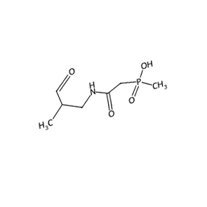 CC(C=O)CNC(=O)CP(C)(=O)O